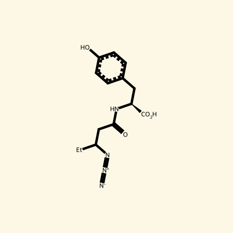 CCC(CC(=O)N[C@@H](Cc1ccc(O)cc1)C(=O)O)N=[N+]=[N-]